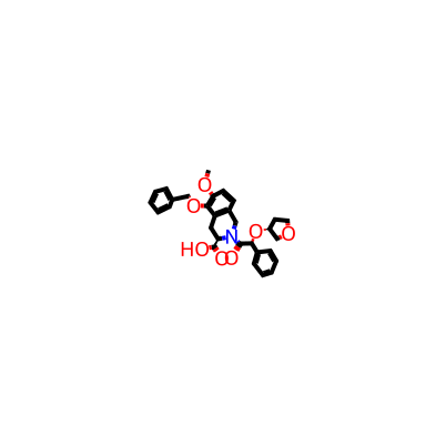 COc1ccc2c(c1OCc1ccccc1)C[C@H](C(=O)O)N(C(=O)[C@@H](O[C@@H]1CCOC1)c1ccccc1)C2